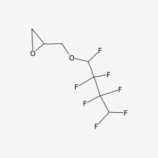 FC(F)C(F)(F)C(F)(F)C(F)OCC1CO1